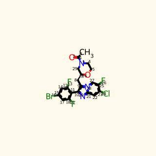 CC(=O)N1CCO[C@@H](Cc2c(-c3c(F)cc(Br)cc3F)nc3cc(Cl)c(F)cn23)C1